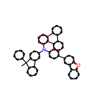 CC1(c2ccccc2)c2ccccc2-c2cc(N(c3ccc(-c4ccc5oc6ccccc6c5c4)cc3)c3ccccc3-c3ccccc3-c3ccccc3-c3ccccc3)ccc21